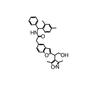 Cc1ccc(C(NC(=O)Cc2ccc3oc(C(CO)c4c(C)noc4C)cc3c2)c2ccccc2)c(C)c1